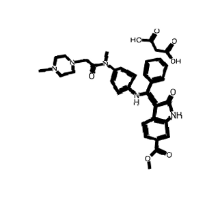 COC(=O)c1ccc2c(c1)NC(=O)C2=C(Nc1ccc(N(C)C(=O)CN2CCN(C)CC2)cc1)c1ccccc1.O=C(O)CC(=O)O